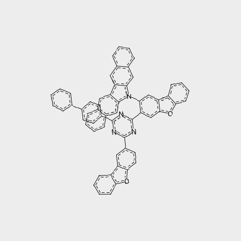 c1ccc(-c2ccc(-c3nc(-c4ccc5oc6ccccc6c5c4)nc(-c4cc5oc6ccccc6c5cc4-n4c5cc6ccccc6cc5c5cc6ccccc6cc54)n3)cc2)cc1